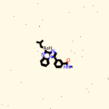 CNC(=O)c1cccc(-c2cnc3c([AsH]CC(C)C)nc4ccccc4n23)c1